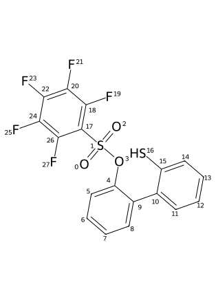 O=S(=O)(Oc1ccccc1-c1ccccc1S)c1c(F)c(F)c(F)c(F)c1F